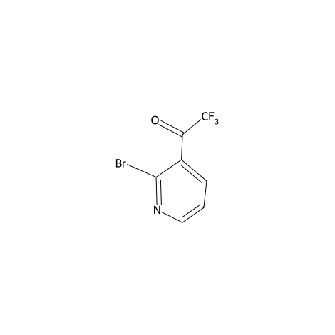 O=C(c1cccnc1Br)C(F)(F)F